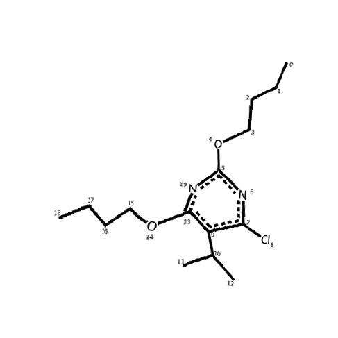 CCCCOc1nc(Cl)c(C(C)C)c(OCCCC)n1